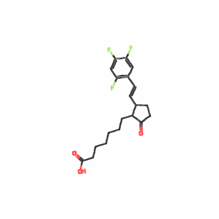 O=C(O)CCCCCCC1C(=O)CCC1C=Cc1cc(F)c(F)cc1F